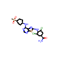 CS(=O)(=O)c1ccc(Nc2ncnc3sc(Nc4c(Cl)cc(C(N)=O)cc4Cl)nc23)cc1